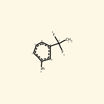 CC(C)c1cccc(C(C)(F)F)c1